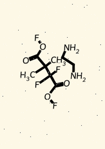 CC(C)(C(=O)OF)C(F)(F)C(=O)OF.NCCN